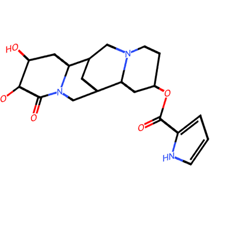 O=C(OC1CCN2CC3CC(CN4C(=O)C(O)C(O)CC34)C2C1)c1ccc[nH]1